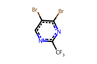 FC(F)(F)c1ncc(Br)c(Br)n1